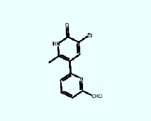 CCc1cc(-c2cccc(C=O)n2)c(C)[nH]c1=O